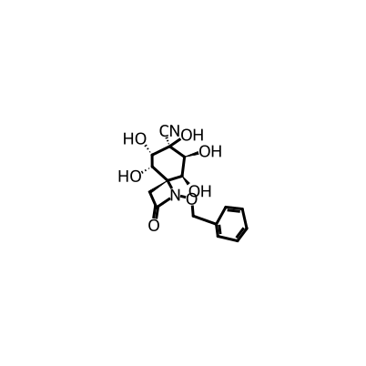 N#C[C@]1(O)[C@@H](O)[C@@H](O)[C@@]2(CC(=O)N2OCc2ccccc2)[C@H](O)[C@@H]1O